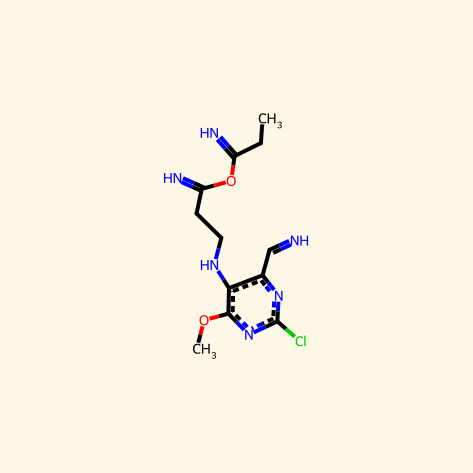 CCC(=N)OC(=N)CCNc1c(C=N)nc(Cl)nc1OC